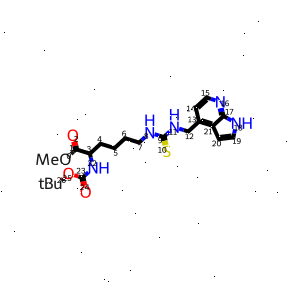 COC(=O)C(CCCCNC(=S)NCc1ccnc2[nH]ccc12)NC(=O)OC(C)(C)C